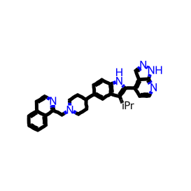 CC(C)c1c(-c2ccnc3[nH]ncc23)[nH]c2ccc(C3CCN(Cc4nccc5ccccc45)CC3)cc12